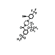 CC(C)(C)Oc1ccc(S(C)(=O)=O)cc1C(=O)N1CCN(c2ccc(C(F)(F)F)cc2C#N)CC1